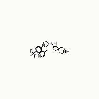 Cc1ccnc2c(C(F)(F)F)ccc(N3CCC(NC(=O)CC4(F)CCNCC4)C3)c12